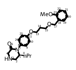 CCC[C@H]1CNCC(=O)N1c1ccc(OCCCOCc2ccccc2OC)cc1